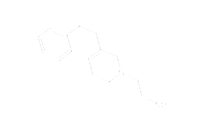 CCCN1CCC2=C(CCc3ccccc32)C1